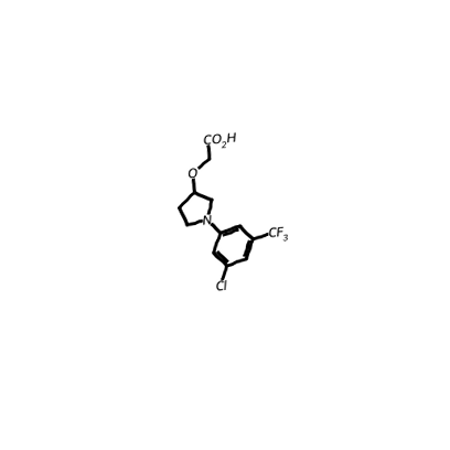 O=C(O)COC1CCN(c2cc(Cl)cc(C(F)(F)F)c2)C1